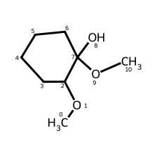 COC1CCCCC1(O)OC